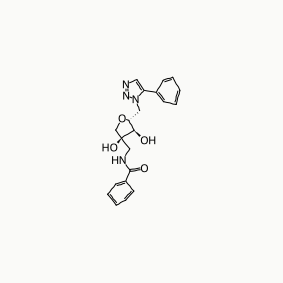 O=C(NC[C@]1(O)CO[C@H](Cn2nncc2-c2ccccc2)[C@H]1O)c1ccccc1